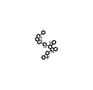 CC1(C)c2ccccc2-c2ccc(-c3nc4ccccc4c4c3cc(-c3ccc(-c5ccc6ccc7ccc(-c8ccccc8)nc7c6n5)cn3)c3sc5ccccc5c34)cc21